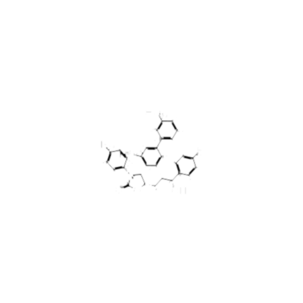 O=C1O[C@H](CC[C@H](O)c2ccc(F)cc2)[C@@H](c2ccc(-c3cccc(O)c3)cc2O)N1c1ccc(F)cc1